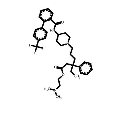 CCC(CCCN1CCC(NC(=O)c2ccccc2-c2ccc(C(F)(F)F)cc2)CC1)(CC(=O)OCCN(C)C)c1ccccc1